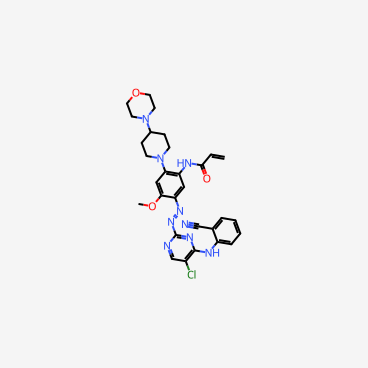 C=CC(=O)Nc1cc(N=Nc2ncc(Cl)c(Nc3ccccc3C#N)n2)c(OC)cc1N1CCC(N2CCOCC2)CC1